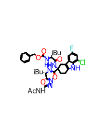 CCC(C)[C@H](NC(=O)OCc1ccccc1)C(=O)N[C@]1(C(=O)N[C@H](c2nnc(NC(C)=O)o2)C(C)CC)CCc2[nH]c3c(Cl)cc(F)cc3c2C1